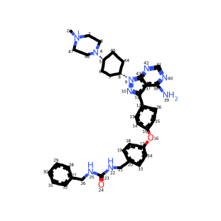 CN1CCN([C@H]2CC[C@@H](n3nc(-c4ccc(Oc5ccc(CNC(=O)NCc6ccccc6)cc5)cc4)c4c(N)ncnc43)CC2)CC1